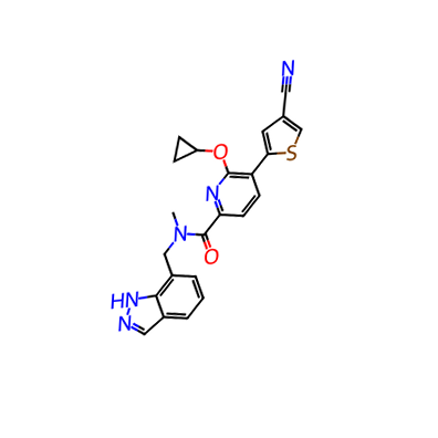 CN(Cc1cccc2cn[nH]c12)C(=O)c1ccc(-c2cc(C#N)cs2)c(OC2CC2)n1